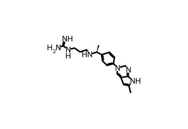 Cc1cc2c([nH]1)=NCN(c1ccc([C@H](C)NCCCNC(=N)N)cc1)C=2